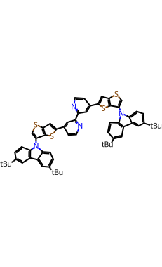 CC(C)(C)c1ccc2c(c1)c1cc(C(C)(C)C)ccc1n2-c1csc2cc(-c3ccnc(-c4cc(-c5cc6scc(-n7c8ccc(C(C)(C)C)cc8c8cc(C(C)(C)C)ccc87)c6s5)ccn4)c3)sc12